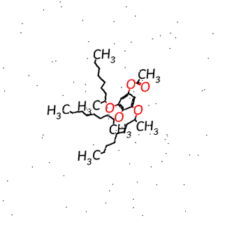 CCCCCCCC(C)Oc1cc(OC(C)=O)cc(OC(C)CCCCCCC)c1OC(C)CCCCCCC